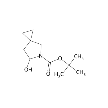 CC(C)(C)OC(=O)N1CC2(CC2)CC1O